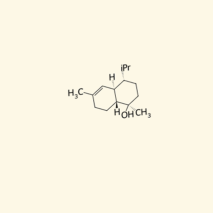 CC1=C[C@@H]2[C@@H](CC1)[C@](C)(O)CC[C@H]2C(C)C